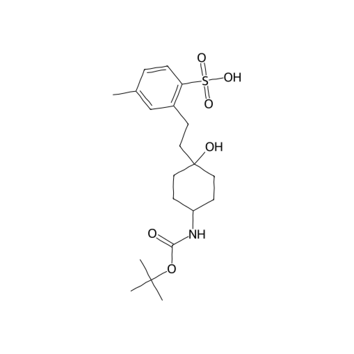 Cc1ccc(S(=O)(=O)O)c(CCC2(O)CCC(NC(=O)OC(C)(C)C)CC2)c1